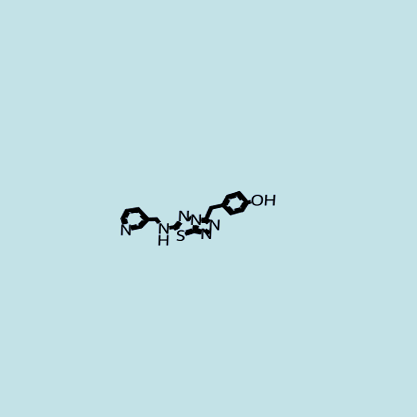 Oc1ccc(Cc2nnc3sc(NCc4cccnc4)nn23)cc1